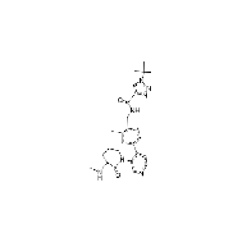 CNC1CCCN(c2cnccc2-c2ccc(CNC(=O)c3cn(C(C)(C)C)nn3)c(C)c2)C1=O